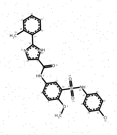 COc1ccc(NC(=O)c2cnc(-c3ccccc3C)[nH]2)cc1S(=O)(=O)Nc1ccc(Cl)cc1